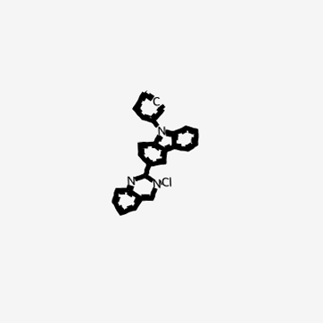 ClN1C=c2ccccc2=NC1c1ccc2c(c1)c1ccccc1n2-c1ccccc1